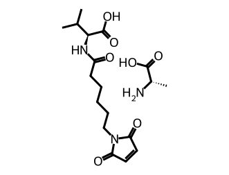 CC(C)[C@H](NC(=O)CCCCCN1C(=O)C=CC1=O)C(=O)O.C[C@H](N)C(=O)O